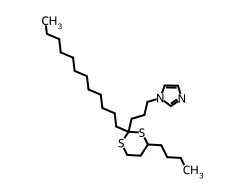 CCCCCCCCCCCCC1(CCCn2ccnc2)SCCC(CCCC)S1